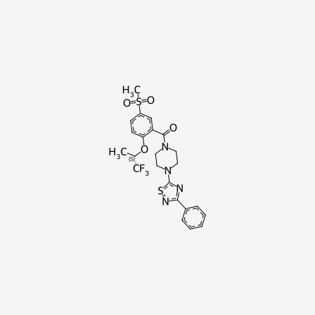 C[C@H](Oc1ccc(S(C)(=O)=O)cc1C(=O)N1CCN(c2nc(-c3ccccc3)ns2)CC1)C(F)(F)F